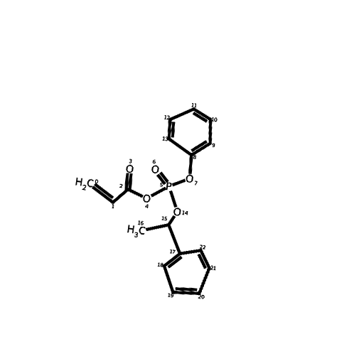 C=CC(=O)OP(=O)(Oc1ccccc1)OC(C)c1ccccc1